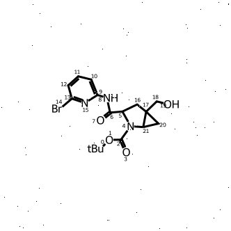 CC(C)(C)OC(=O)N1C(C(=O)Nc2cccc(Br)n2)CC2(CO)CC12